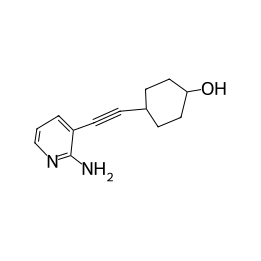 Nc1ncccc1C#CC1CCC(O)CC1